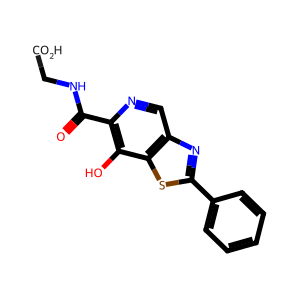 O=C(O)CNC(=O)c1ncc2nc(-c3ccccc3)sc2c1O